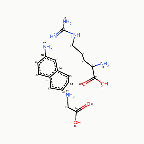 N=C(N)NCCCC(N)C(=O)O.NCC(=O)O.Nc1ccc2ccccc2c1